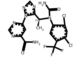 C[C@@H](c1ncnn1-c1cc(C(N)=O)ncn1)N(C(N)=O)c1cc(C(F)(F)F)c(Cl)cc1Cl